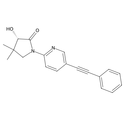 CC1(C)CN(c2ccc(C#Cc3ccccc3)cn2)C(=O)[C@H]1O